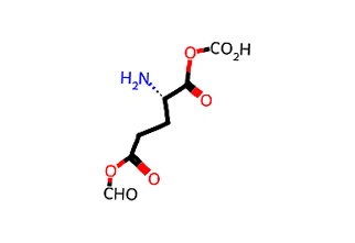 N[C@@H](CCC(=O)OC=O)C(=O)OC(=O)O